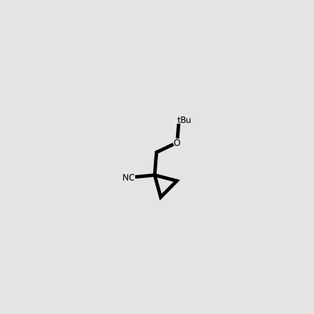 CC(C)(C)OCC1(C#N)CC1